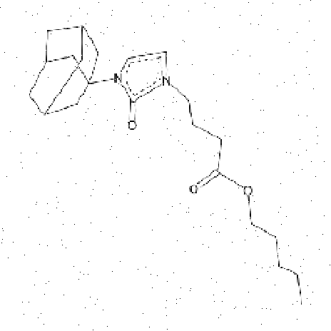 CCCCCOC(=O)CCCn1ccn(C23CC4CC(CC(C4)C2)C3)c1=O